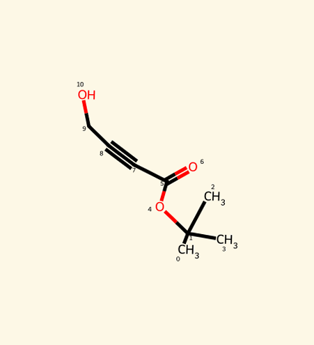 CC(C)(C)OC(=O)C#CCO